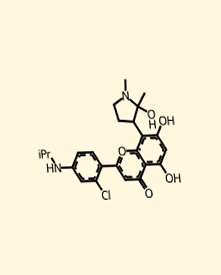 CC(C)Nc1ccc(-c2cc(=O)c3c(O)cc(O)c(C4CCN(C)C4(C)O)c3o2)c(Cl)c1